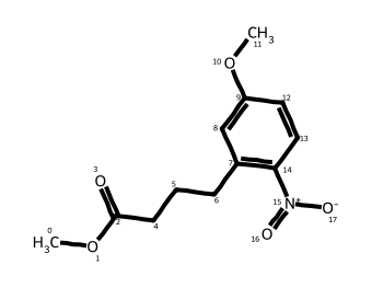 COC(=O)CCCc1cc(OC)ccc1[N+](=O)[O-]